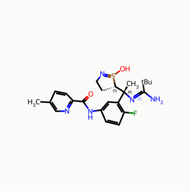 Cc1ccc(C(=O)Nc2ccc(F)c([C@@](C)(/N=C(/N)C(C)(C)C)[C@@H]3CCN=S3O)c2)nc1